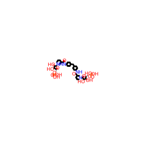 O=C(Nc1ccc(Cc2ccc(NC(=O)c3ccc[n+]([C@@H]4O[C@H](COP(=O)(O)O)[C@@H](O)[C@H]4O)c3)cc2)cc1)c1ccc[n+]([C@@H]2O[C@H](COP(=O)(O)O)[C@@H](O)[C@H]2O)c1